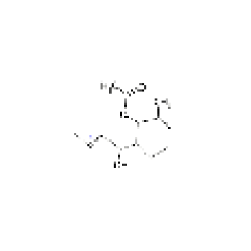 CC(=O)OC1C(C)NCCC1C(O)/C=C/I